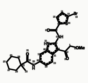 COCC(=O)c1c(NC(=O)c2ccc(Br)s2)[nH]c2cc(NC(=O)C3(C)CCCCC3)ccc12